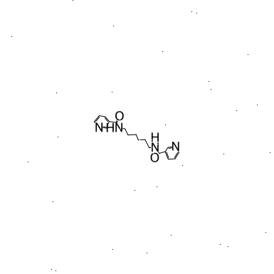 O=C(NCCCCCCNC(=O)c1cccnc1)c1cccnc1